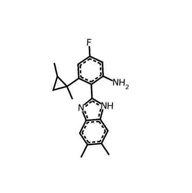 Cc1cc2nc(-c3c(N)cc(F)cc3C3(C)CC3C)[nH]c2cc1C